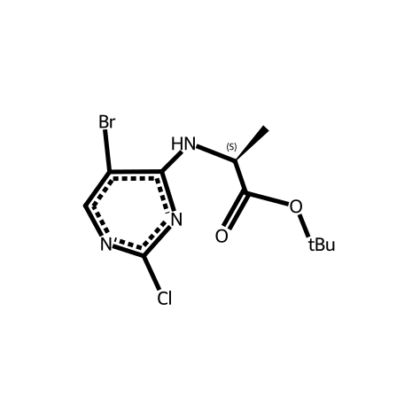 C[C@H](Nc1nc(Cl)ncc1Br)C(=O)OC(C)(C)C